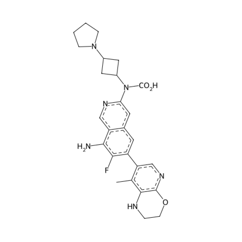 Cc1c(-c2cc3cc(N(C(=O)O)C4CC(N5CCCC5)C4)ncc3c(N)c2F)cnc2c1NCCO2